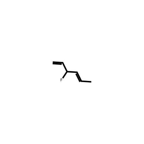 C=CC(F)C=CC